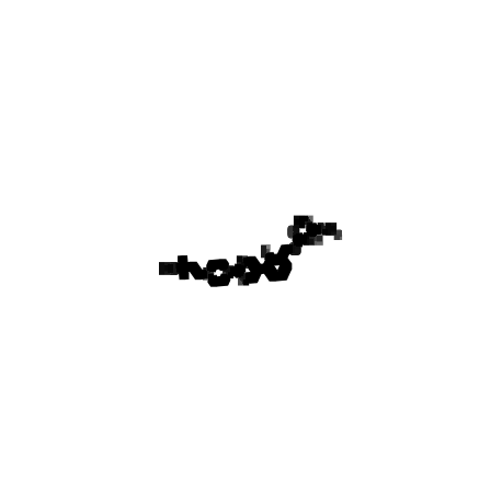 CC(C)(O)CCN1CCN(c2ncc(-c3cccc(COC(=O)NC(=N)N)c3F)cn2)CC1